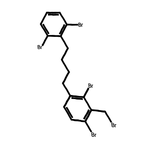 BrCc1c(Br)ccc(CCCCc2c(Br)cccc2Br)c1Br